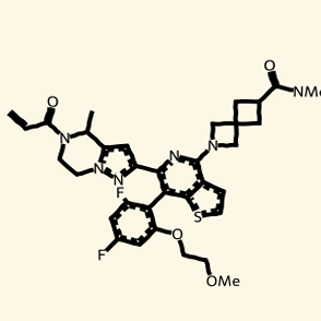 C=CC(=O)N1CCn2nc(-c3nc(N4CC5(CC(C(=O)NC)C5)C4)c4ccsc4c3-c3c(F)cc(F)cc3OCCOC)cc2C1C